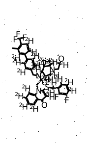 [2H]c1c([2H])c(F)c(F)c(C([2H])([2H])Sc2c([2H])c(=O)c3c([2H])c([2H])c([2H])c([2H])c3n2CC(=O)N(Cc2c([2H])c([2H])c(-c3c([2H])c([2H])c(C(F)(F)F)c(C)c3[2H])c([2H])c2[2H])C2([2H])C([2H])([2H])C([2H])([2H])N(CC([2H])([2H])OC)C([2H])([2H])C2([2H])[2H])c1[2H]